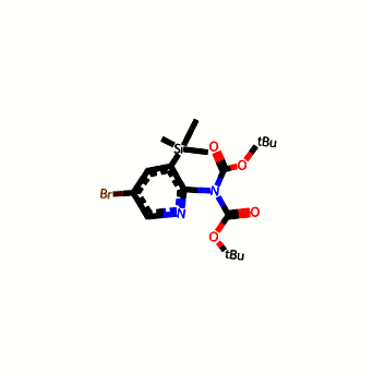 CC(C)(C)OC(=O)N(C(=O)OC(C)(C)C)c1ncc(Br)cc1[Si](C)(C)C